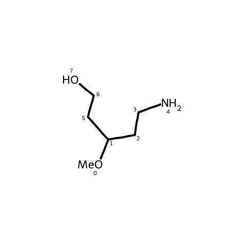 COC(CCN)CCO